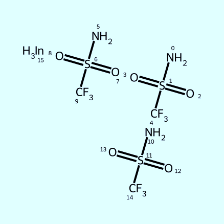 NS(=O)(=O)C(F)(F)F.NS(=O)(=O)C(F)(F)F.NS(=O)(=O)C(F)(F)F.[InH3]